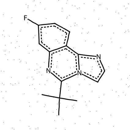 CC(C)(C)c1nc2cc(F)ccc2c2nccn12